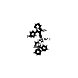 COP(=O)(C#Cc1c(C(C)C)c2ccccn2c1-c1ccc(F)cc1)C[C@H](CC(=O)O)O[Si](c1ccccc1)(c1ccccc1)C(C)(C)C